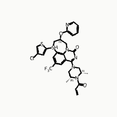 C=CC(=O)N1[C@H](C)CN(c2nc(=O)n3c4c(cc(C(F)(F)F)cc24)[SH](c2cc(Cl)cs2)C[C@@H](Oc2ccccn2)C3)C[C@@H]1C